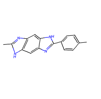 Cc1ccc(-c2nc3cc4[nH]c(C)nc4cc3[nH]2)cc1